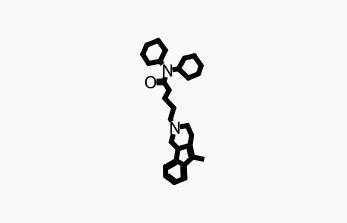 CC1=C2CCN(CCCCC(=O)N(C3CCCCC3)C3CCCCC3)CC2c2ccccc21